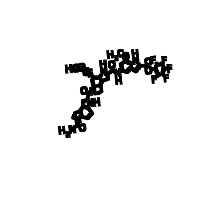 COc1cc(NC(=O)c2cc3c4c(cc(SOOO)c3[nH]2)N(C(=O)c2cc3c5c(ccc3[nH]2)N(C(N)=O)CC5)CC4)cc2cc(C(=O)Oc3c(F)c(F)c(F)c(F)c3F)[nH]c12